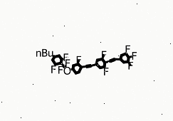 CCCCc1cc(F)c(C(F)(F)Oc2ccc(C#Cc3cc(F)c(C#Cc4cc(F)c(F)c(F)c4)c(F)c3)c(F)c2)c(F)c1